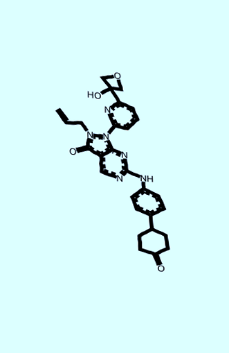 C=CCn1c(=O)c2cnc(Nc3ccc(C4CCC(=O)CC4)cc3)nc2n1-c1cccc(C2(O)COC2)n1